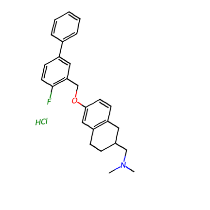 CN(C)CC1CCc2cc(OCc3cc(-c4ccccc4)ccc3F)ccc2C1.Cl